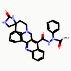 COC(=O)N(NC(=O)c1c(CN2CCC3(CC2)CNC(=O)N3)c(-c2ccccc2)nc2ccccc12)c1ccccc1